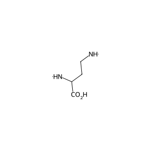 [NH]CCC([NH])C(=O)O